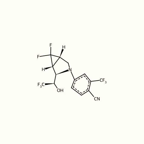 N#Cc1ccc(N2C[C@@H]3[C@H]([C@@H]2[C@@H](O)C(F)(F)F)C3(F)F)cc1C(F)(F)F